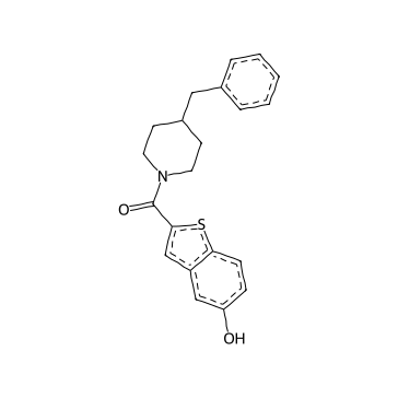 O=C(c1cc2cc(O)ccc2s1)N1CCC(Cc2ccccc2)CC1